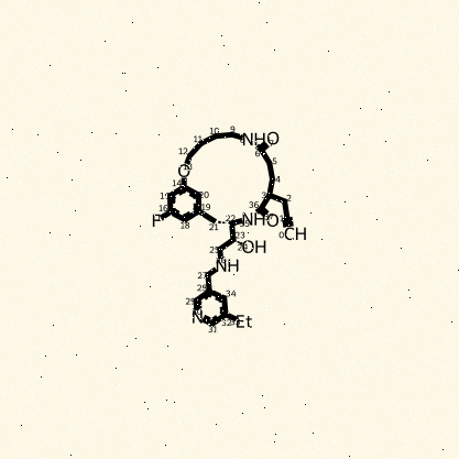 C#CCC1CCC(=O)NCCCCOc2cc(F)cc(c2)C[C@@H]([C@H](O)CNCc2cncc(CC)c2)NC1=O